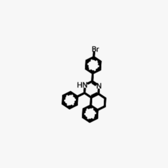 Brc1ccc(C2=NC3=C(c4ccccc4CC3)C(c3ccccc3)N2)cc1